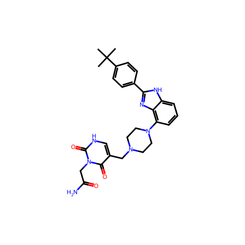 CC(C)(C)c1ccc(-c2nc3c(N4CCN(Cc5c[nH]c(=O)n(CC(N)=O)c5=O)CC4)cccc3[nH]2)cc1